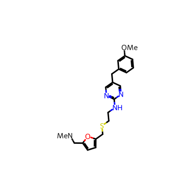 CNCc1ccc(CSCCNc2ncc(Cc3cccc(OC)c3)cn2)o1